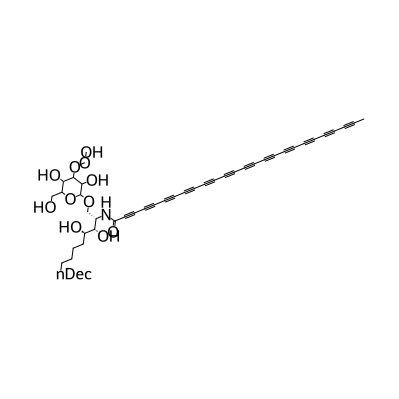 CC#CC#CC#CC#CC#CC#CC#CC#CC#CC#CC#CC#CC(=O)N[C@@H](COC1OC(CO)C(O)C(OOO)C1O)[C@H](O)[C@H](O)CCCCCCCCCCCCCC